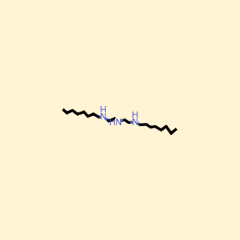 CCCCCCCCNCCNCCNCCCCCCCC